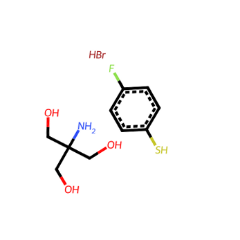 Br.Fc1ccc(S)cc1.NC(CO)(CO)CO